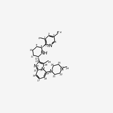 Cc1cc(F)cnc1[C@@H]1CCC[C@H](c2nc3cccc(N4CCN(C)CC4)n3c2C)N1